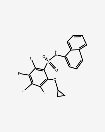 O=S(=O)(Nc1cccc2ccccc12)c1c(F)c(F)c(F)c(F)c1OC1CC1